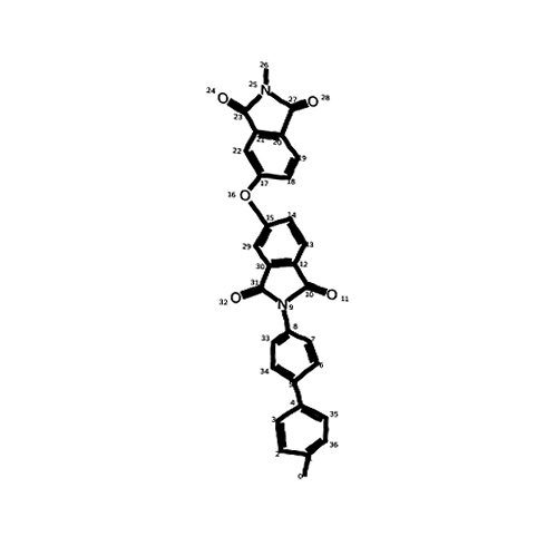 Cc1ccc(-c2ccc(N3C(=O)c4ccc(Oc5ccc6c(c5)C(=O)N(C)C6=O)cc4C3=O)cc2)cc1